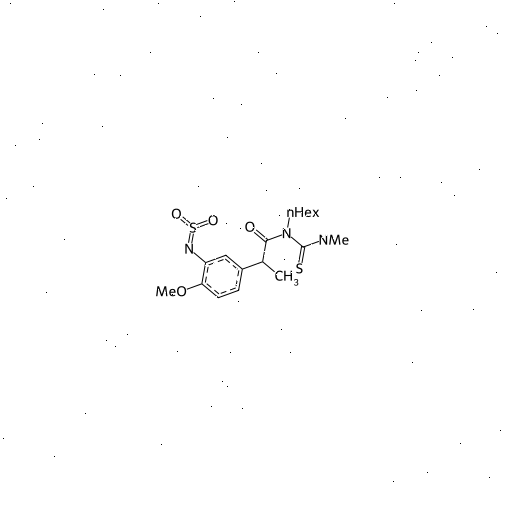 CCCCCCN(C(=O)C(C)c1ccc(OC)c(N=S(=O)=O)c1)C(=S)NC